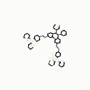 C1=CCNC(N(c2ccc(/C=C/c3ccc4c(-c5ccccc5)c(-c5ccccc5)c5ccc(/C=C/c6ccc(N(c7ccccn7)c7ccccn7)cc6)cc5c4c3)cc2)c2ccccn2)=C1